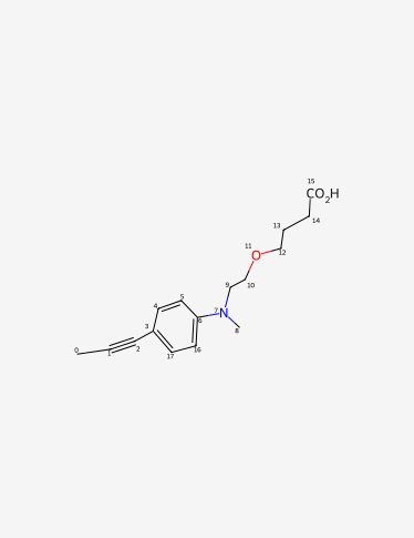 CC#Cc1ccc(N(C)CCOCCCC(=O)O)cc1